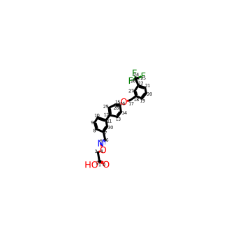 O=C(O)CO/N=C/c1cccc(-c2ccc(OCc3cccc(C(F)(F)F)c3)cc2)c1